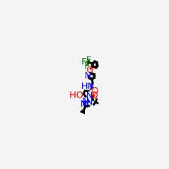 CC(C)(C)[C@@H](C(=O)N1C[C@H](O)C[C@H]1C(=O)NCc1ccc(Oc2ccccc2C(F)(F)F)nc1)n1cc(C2CC2)nn1